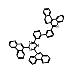 c1cc(-c2cccc(-c3nc4ccccc4c4c3ccc3ccccc34)c2)cc(-c2nc(-c3cc4ccccc4c4ccccc34)nc(-c3cc4ccccc4c4ccccc34)n2)c1